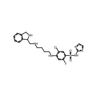 O=S(=O)(Nc1nccs1)c1cc(Cl)c(NCCCCNCC2NCc3ccccc32)cc1F